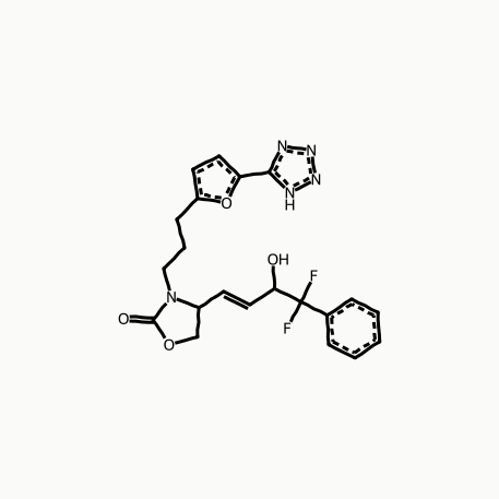 O=C1OCC(/C=C/C(O)C(F)(F)c2ccccc2)N1CCCc1ccc(-c2nnn[nH]2)o1